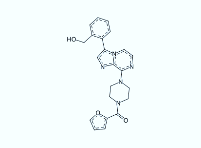 O=C(c1ccco1)N1CCN(c2nccn3c(-c4ccccc4CO)cnc23)CC1